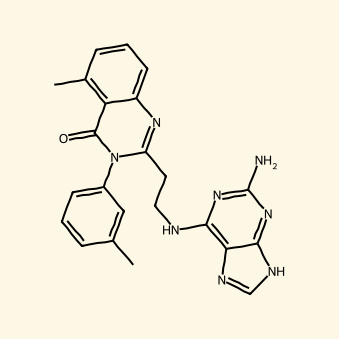 Cc1cccc(-n2c(CCNc3nc(N)nc4[nH]cnc34)nc3cccc(C)c3c2=O)c1